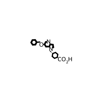 O=C(O)[C@H]1CC[C@H](Cn2ccc3ncc(OCc4ccccc4)cc32)CC1